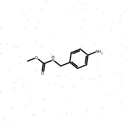 COC(=O)NCc1ccc(N)cc1